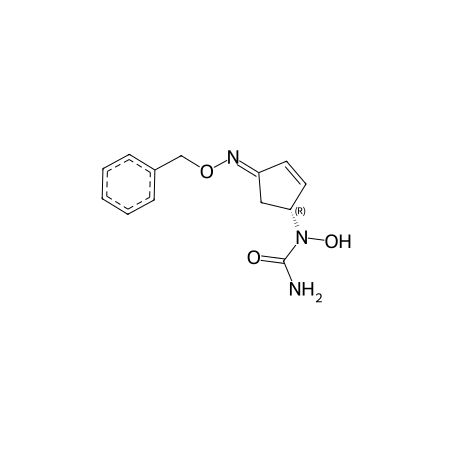 NC(=O)N(O)[C@H]1C=CC(=NOCc2ccccc2)C1